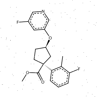 COC(=O)[C@@]1(c2cccc(F)c2C)CC[C@@H](Oc2cncc(F)c2)C1